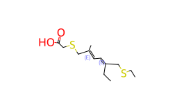 CCSC/C(=C/C=C(\C)CSCC(=O)O)CC